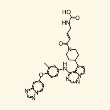 Cc1cc(Nc2ncnn3ccc(C4CCN(C(=O)C=CCNC(=O)O)CC4)c23)ccc1Oc1ccn2ncnc2c1